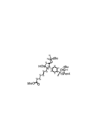 CCCCCC(I)(O[Si](C)(C)C(C)(C)C)c1ccc([C@@H]2[C@@H](CC=CCCCC(=O)OC)[C@H](O)C[C@H]2O[Si](C)(C)C(C)(C)C)cc1